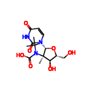 CC(C)(C)N(C(=O)O)[C@]1(C)[C@H](O)[C@@H](CO)O[C@H]1n1ccc(=O)[nH]c1=O